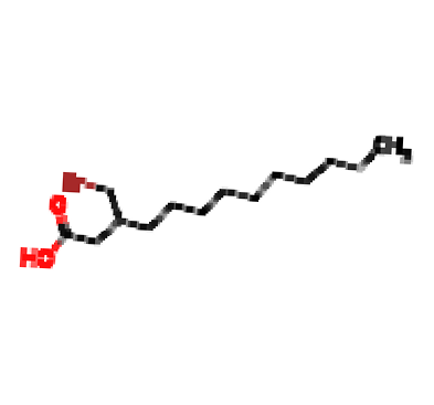 CCCCCCCCCCC(CBr)CC(=O)O